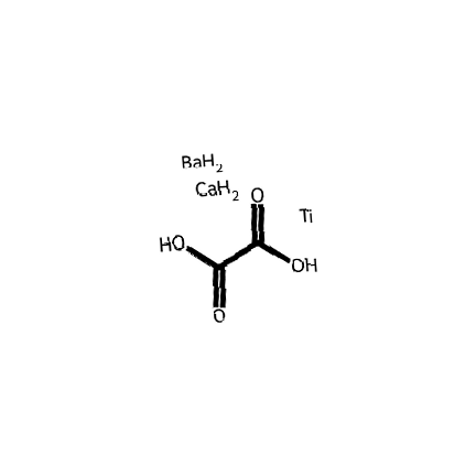 O=C(O)C(=O)O.[BaH2].[CaH2].[Ti]